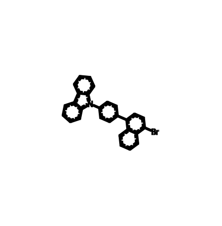 Brc1ccc(-c2ccc(-n3c4ccccc4c4ccccc43)cc2)c2ccccc12